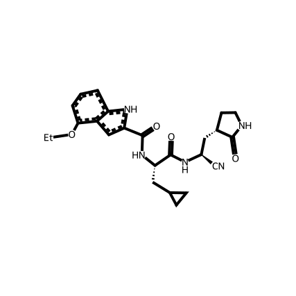 CCOc1cccc2[nH]c(C(=O)N[C@@H](CC3CC3)C(=O)N[C@H](C#N)C[C@@H]3CCNC3=O)cc12